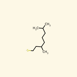 CC(C)CCCC(C)CC[S]